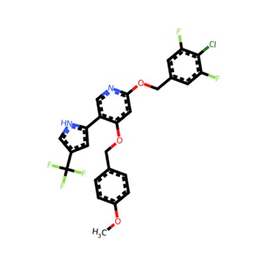 COc1ccc(COc2cc(OCc3cc(F)c(Cl)c(F)c3)ncc2-c2cc(C(F)(F)F)c[nH]2)cc1